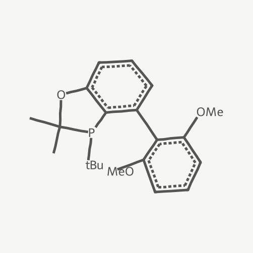 COc1cccc(OC)c1-c1cccc2c1P(C(C)(C)C)C(C)(C)O2